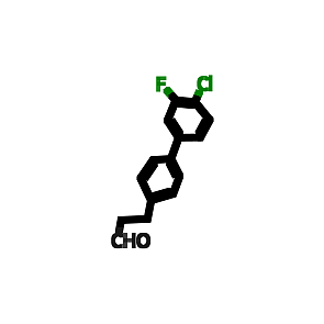 O=CCCc1ccc(-c2ccc(Cl)c(F)c2)cc1